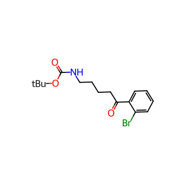 CC(C)(C)OC(=O)NCCCCC(=O)c1ccccc1Br